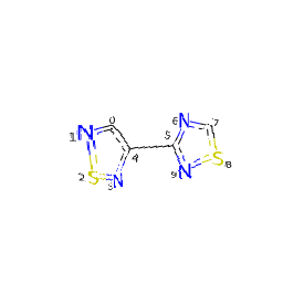 [c]1nsnc1-c1ncsn1